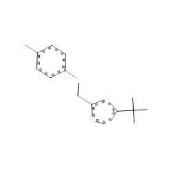 FC(F)(F)c1nc(CNc2ccc(Cl)cc2)no1